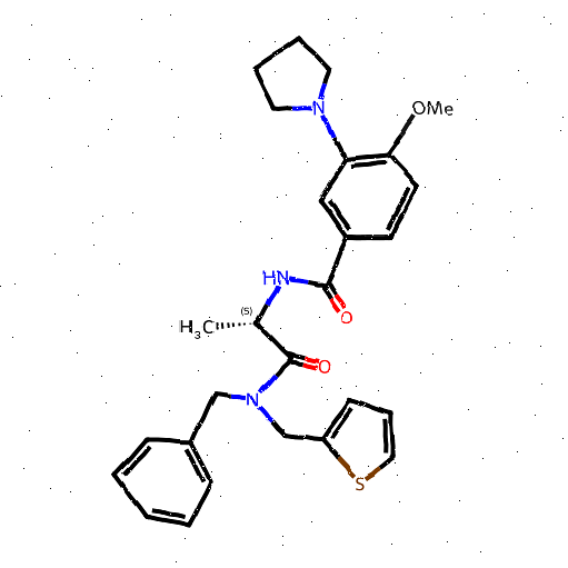 COc1ccc(C(=O)N[C@@H](C)C(=O)N(Cc2ccccc2)Cc2cccs2)cc1N1CCCC1